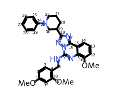 COc1ccc(CNc2nc3c(OC)cccc3c3nc(C4CCCN(c5ccccc5)C4)nn23)c(OC)c1